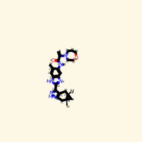 C=C(C(=O)N(C)c1cc2nc(-c3n[nH]c4c3C[C@@H]3C[C@]3(C)C4)[nH]c2cc1C)N1CCCOCC1